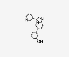 Oc1cccc(-c2ccc3ncc(-c4cccnc4)n3n2)c1